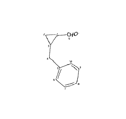 O=[C]C1CC1Cc1ccccc1